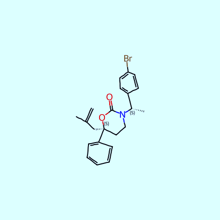 C=C(C)C[C@@]1(c2ccccc2)CCN([C@@H](C)c2ccc(Br)cc2)C(=O)O1